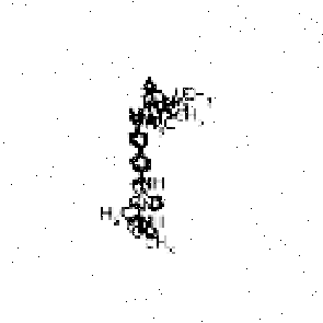 COC(=O)N[C@H](C(=O)N1CCC[C@H]1c1ncc(-c2ccc(-c3ccc(-c4cnc([C@H]5CC6(CCC6)ON5C(=O)[C@@H](NC(=O)OC)C(C)C)[nH]4)cc3)cc2)[nH]1)C(C)C